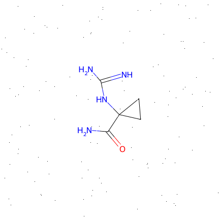 N=C(N)NC1(C(N)=O)CC1